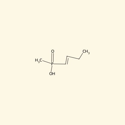 CCC=CP(C)(=O)O